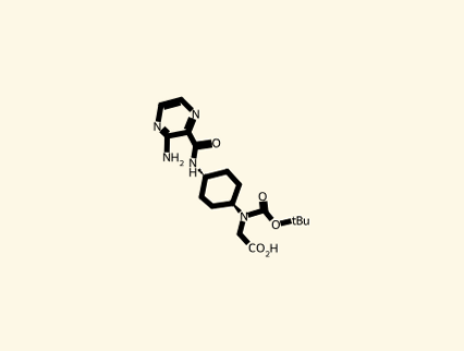 CC(C)(C)OC(=O)N(CC(=O)O)[C@H]1CC[C@H](NC(=O)c2nccnc2N)CC1